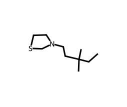 CCC(C)(C)CCN1CCSC1